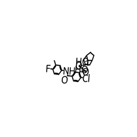 Cc1cc(NC(=O)c2ccc(Cl)c(S(=O)(=O)[C@H]3CC4CCC(C3)[C@]4(O)CO)c2)ccc1F